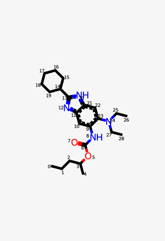 CCCC(C)OC(=O)Nc1cc2nc(C3CCCCC3)[nH]c2cc1N(CC)CC